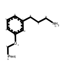 CCCC(C)COc1cccc(CCCN)c1